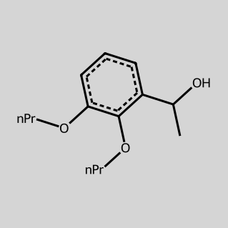 CCCOc1cccc(C(C)O)c1OCCC